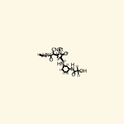 C#CCNC(=O)C(C#N)=c1sc(=CNc2cccc(NC(=O)C(C)(C)O)c2)c(=O)n1CC